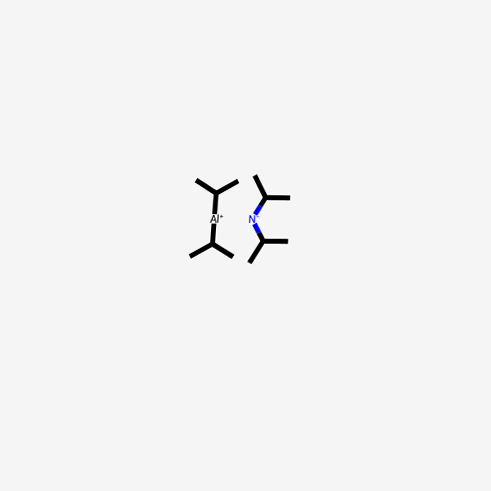 CC(C)[N-]C(C)C.C[CH](C)[Al+][CH](C)C